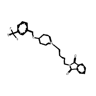 O=C1c2ccccc2C(=O)N1CCCCN1CCC(OCc2cccc(C(F)(F)F)c2)CC1